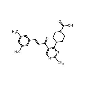 Cc1cc(C)cc(/C=C/C(=O)c2cnc(C)nc2C2CCN(C(=O)O)CC2)c1